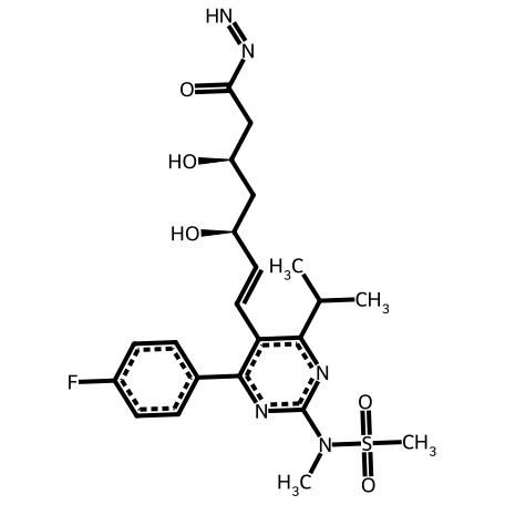 CC(C)c1nc(N(C)S(C)(=O)=O)nc(-c2ccc(F)cc2)c1/C=C/[C@@H](O)C[C@@H](O)CC(=O)N=N